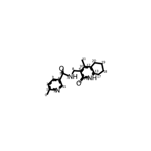 Cc1ccc(C(=O)NCc2c(C)c3c([nH]c2=O)CCCC3)cn1